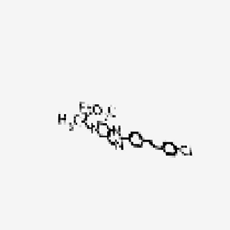 CCOC(=O)CC(C)CN1CCc2nc(-c3ccc(/C=C/c4ccc(Cl)cc4)cc3)ncc2C1